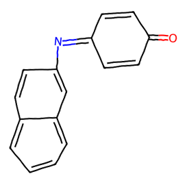 O=C1C=CC(=Nc2ccc3ccccc3c2)C=C1